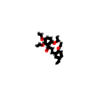 CCOc1ccc(CC)cc1CCC(=O)c1c(OCC)ccc(OCC)c1OCC